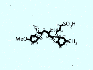 CCC(=CC1=[N+](CC)C2C=C(OC)C=CC2S1)C=C1Sc2ccc(C)cc2N1CCCS(=O)(=O)O